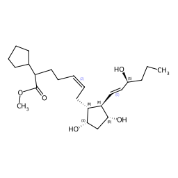 CCC[C@H](O)/C=C/[C@@H]1[C@@H](C/C=C\CCC(C(=O)OC)C2CCCC2)[C@@H](O)C[C@H]1O